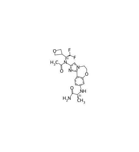 CC(=O)N(c1cn2c(n1)-c1ccc(N[C@@H](C)C(N)=O)cc1OCC2)[C@H](C(F)F)C1COC1